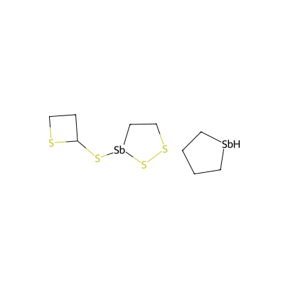 C1C[CH2][SbH][CH2]1.C1[CH2][Sb]([S]C2CCS2)[S]S1